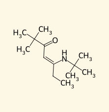 CC/C(=C/C(=O)C(C)(C)C)NC(C)(C)C